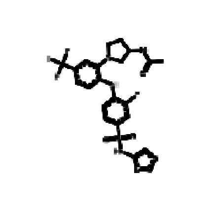 CC(=O)NC1CCN(c2cc(C(F)(F)F)ccc2Nc2ccc(S(=O)(=O)Nc3cscn3)cc2Cl)C1